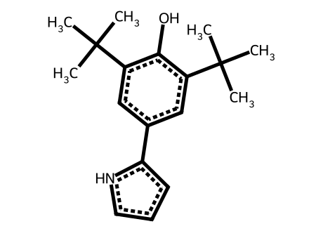 CC(C)(C)c1cc(-c2ccc[nH]2)cc(C(C)(C)C)c1O